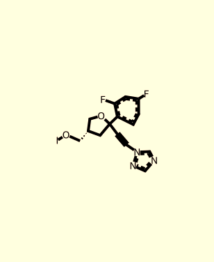 Fc1ccc(C2(C#Cn3cncn3)C[C@H](COI)CO2)c(F)c1